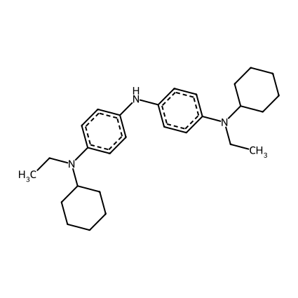 CCN(c1ccc(Nc2ccc(N(CC)C3CCCCC3)cc2)cc1)C1CCCCC1